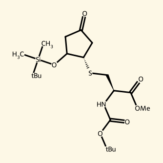 COC(=O)[C@H](CS[C@H]1CC(=O)CC1O[Si](C)(C)C(C)(C)C)NC(=O)OC(C)(C)C